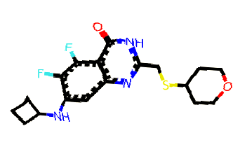 O=c1[nH]c(CSC2CCOCC2)nc2cc(NC3CCC3)c(F)c(F)c12